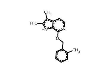 Cc1ccccc1COc1nccc2c(C)c(C)[nH]c12